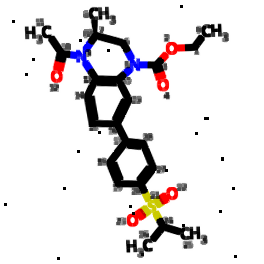 CCOC(=O)N1C[C@H](C)N(C(C)=O)c2ccc(-c3ccc(S(=O)(=O)C(C)C)cc3)cc21